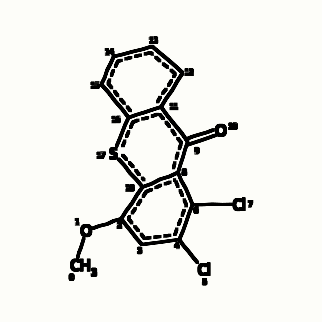 COc1cc(Cl)c(Cl)c2c(=O)c3ccccc3sc12